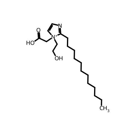 CCCCCCCCCCCCC1=NC=C[N+]1(CCO)CC(=O)O